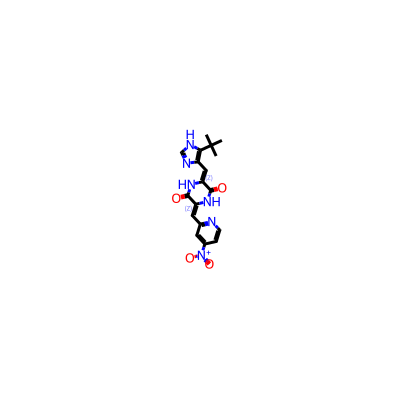 CC(C)(C)c1[nH]cnc1/C=c1\[nH]c(=O)/c(=C/c2cc([N+](=O)[O-])ccn2)[nH]c1=O